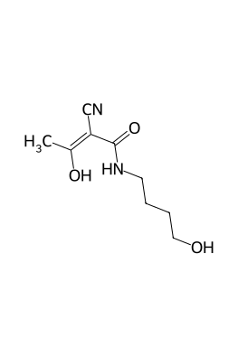 C/C(O)=C(\C#N)C(=O)NCCCCO